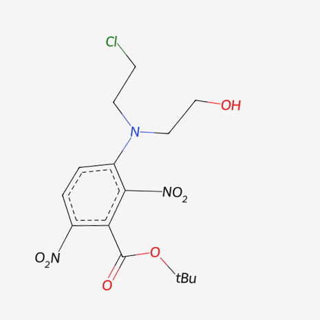 CC(C)(C)OC(=O)c1c([N+](=O)[O-])ccc(N(CCO)CCCl)c1[N+](=O)[O-]